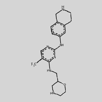 FC(F)(F)c1cnc(Nc2ccc3c(c2)CCNC3)nc1NCC1CNCCO1